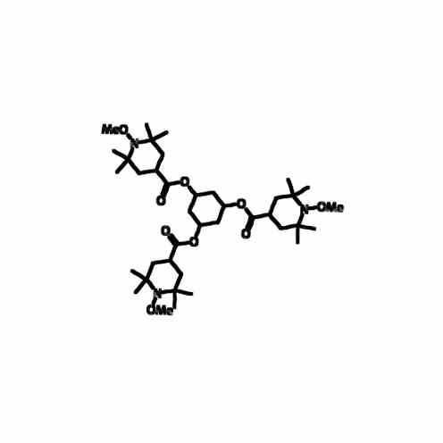 CON1C(C)(C)CC(C(=O)OC2CC(OC(=O)C3CC(C)(C)N(OC)C(C)(C)C3)CC(OC(=O)C3CC(C)(C)N(OC)C(C)(C)C3)C2)CC1(C)C